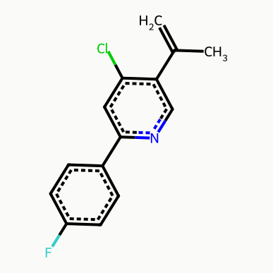 C=C(C)c1cnc(-c2ccc(F)cc2)cc1Cl